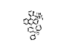 CC1(C)c2ccccc2-c2c3ccccc3c(-c3cccc(P(=O)(c4ccccc4)c4ccccc4)c3)c3cccc1c23